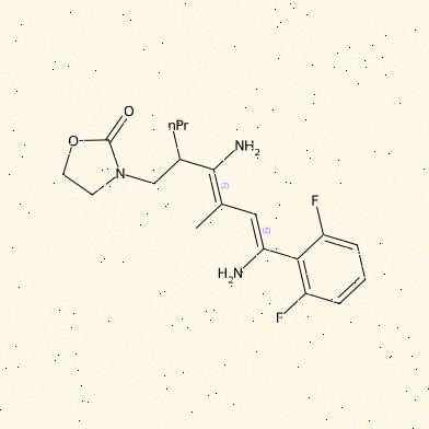 CCCC(CN1CCOC1=O)/C(N)=C(C)/C=C(\N)c1c(F)cccc1F